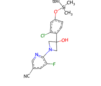 CC(C)(C)[Si](C)(C)Oc1ccc(C2(O)CN(c3ncc(C#N)cc3F)C2)c(Cl)c1